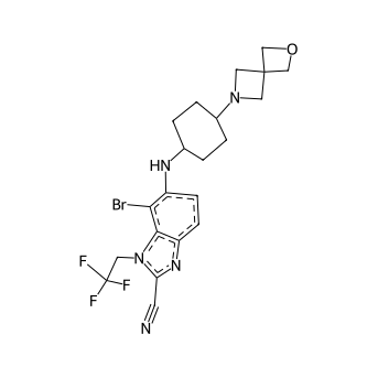 N#Cc1nc2ccc(NC3CCC(N4CC5(COC5)C4)CC3)c(Br)c2n1CC(F)(F)F